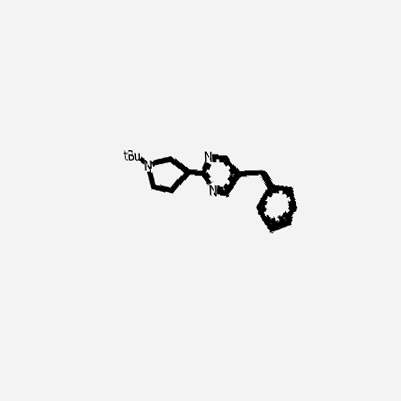 CC(C)(C)N1CCC(c2ncc(Cc3ccccc3)cn2)C1